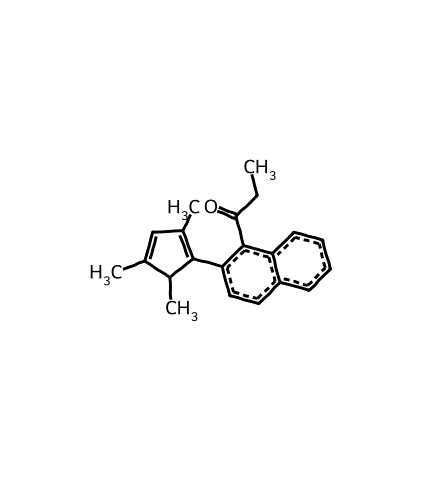 CCC(=O)c1c(C2=C(C)C=C(C)C2C)ccc2ccccc12